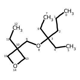 CCCC(CC)(CC)OCC1(CC)COC1